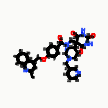 Cc1cc(COc2ccc(C(=O)NCC3(C4CCN(Cc5cccnc5)CC4)C(=O)NC(=O)NC3=O)cc2)c2ccccc2n1